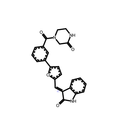 O=C1CN(C(=O)c2cccc(-c3ccc(/C=C4/C(=O)Nc5ccccc54)o3)c2)CCN1